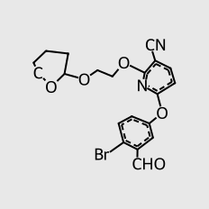 N#Cc1ccc(Oc2ccc(Br)c(C=O)c2)nc1OCCOC1CCCCO1